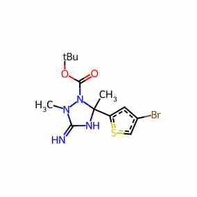 CN1C(=N)NC(C)(c2cc(Br)cs2)N1C(=O)OC(C)(C)C